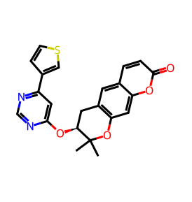 CC1(C)Oc2cc3oc(=O)ccc3cc2C[C@@H]1Oc1cc(-c2ccsc2)ncn1